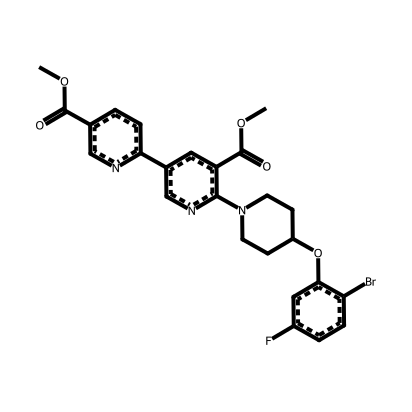 COC(=O)c1ccc(-c2cnc(N3CCC(Oc4cc(F)ccc4Br)CC3)c(C(=O)OC)c2)nc1